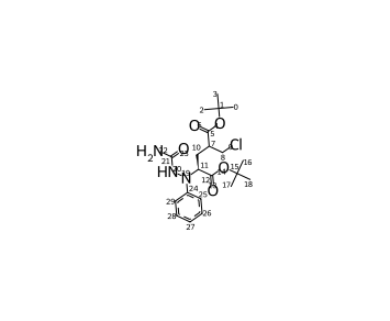 CC(C)(C)OC(=O)C(CCl)C[C@@H](C(=O)OC(C)(C)C)N(NC(N)=O)c1ccccc1